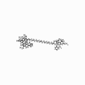 Cc1cc(C)c(C2=C(OCc3ccccc3)C3(CCC(OCCOCCOCCOCCOCCOCCOCC(=O)N[C@H](C(=O)N4C[C@H](O)C[C@H]4C(=O)N[C@@H](C)c4ccc(-c5scnc5C)cc4)C(C)(C)C)CC3)OC2=O)c(C)c1